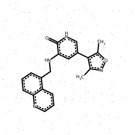 Cc1noc(C)c1-c1c[nH]c(=O)c(NCc2cccc3ncccc23)c1